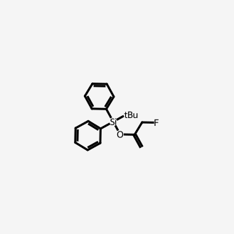 C=C(CF)O[Si](c1ccccc1)(c1ccccc1)C(C)(C)C